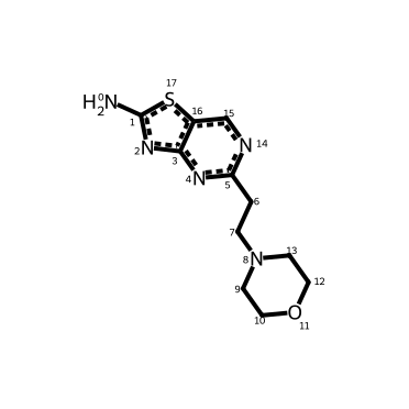 Nc1nc2nc(CCN3CCOCC3)ncc2s1